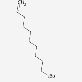 C=CCCCCCCCCC(C)CC